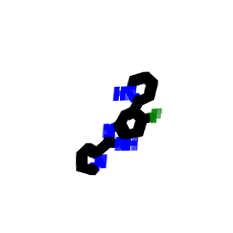 Fc1cc2[nH]c(-c3ccccn3)nc2cc1[C]1C=CC=CN1